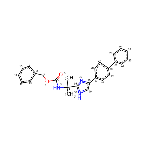 CC(C)(NC(=O)OCc1ccccc1)c1nc(-c2ccc(-c3ccccc3)cc2)c[nH]1